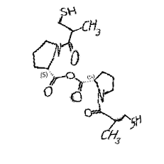 CC(CS)C(=O)N1CCC[C@H]1C(=O)OC(=O)[C@@H]1CCCN1C(=O)C(C)CS